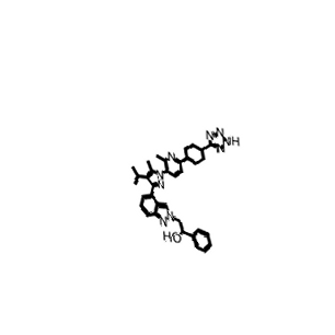 Cc1nc(C2=CCC(c3nn[nH]n3)CC2)ccc1-n1nc(-c2cccc3nn(C[C@H](O)c4ccccc4)cc23)c(C(C)C)c1C